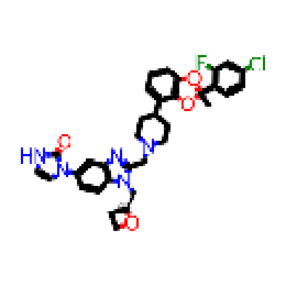 CC1(c2ccc(Cl)cc2F)Oc2cccc(C3CCN(Cc4nc5cc(-n6cc[nH]c6=O)ccc5n4C[C@@H]4CCO4)CC3)c2O1